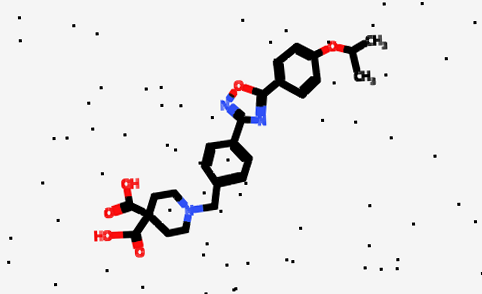 CC(C)Oc1ccc(-c2nc(-c3ccc(CN4CCC(C(=O)O)(C(=O)O)CC4)cc3)no2)cc1